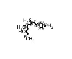 COCC(O)CN(C)CCN(C)CCN1CCN(C)CC1